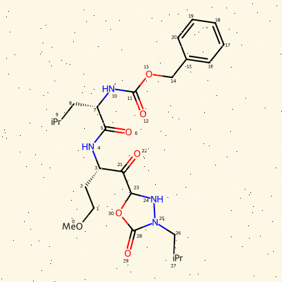 COCC[C@H](NC(=O)[C@H](CC(C)C)NC(=O)OCc1ccccc1)C(=O)C1NN(CC(C)C)C(=O)O1